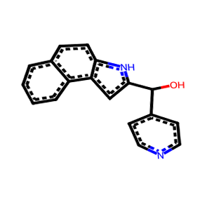 OC(c1ccncc1)c1cc2c(ccc3ccccc32)[nH]1